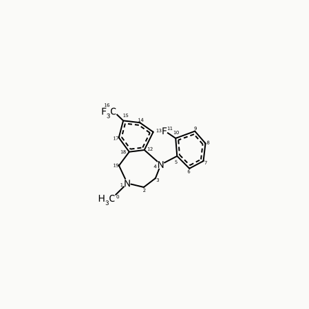 CN1CCN(c2ccccc2F)c2ccc(C(F)(F)F)cc2C1